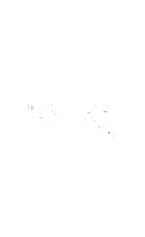 O=C(O)C(NC(=O)[C@H]1CC[C@H](C(=O)NC(C(=O)O)[C@H]2CN3CCC2CC3)CC1)[C@H]1CN2CCC1CC2